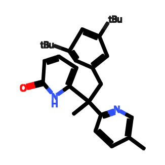 Cc1ccc(C(C)(Cc2cc(C(C)(C)C)cc(C(C)(C)C)c2)c2cccc(=O)[nH]2)nc1